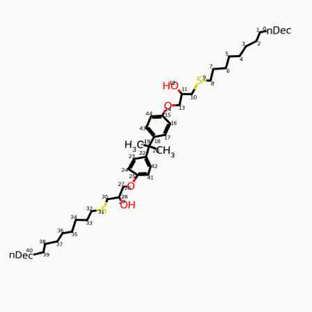 CCCCCCCCCCCCCCCCCCSCC(O)COc1ccc(C(C)(C)c2ccc(OCC(O)CSCCCCCCCCCCCCCCCCCC)cc2)cc1